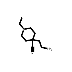 CCN1CCC(C#N)(CCN)CC1